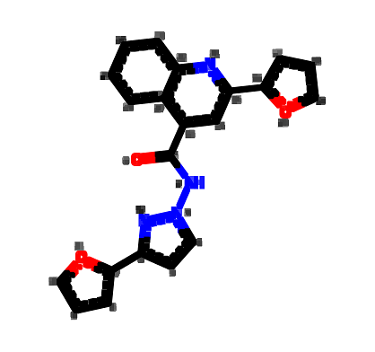 O=C(Nn1ccc(-c2ccco2)n1)c1cc(-c2ccco2)nc2ccccc12